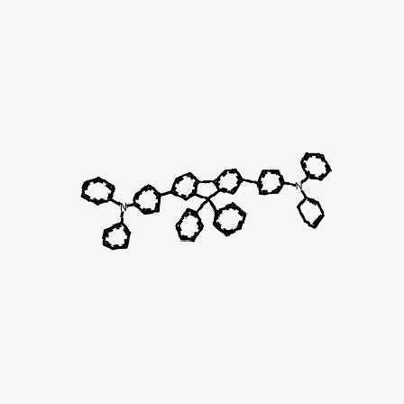 C1=CCCC(N(c2ccccc2)c2ccc(-c3ccc4c(c3)C(c3ccccc3)(c3ccccc3)c3cc(-c5ccc(N(c6ccccc6)c6ccccc6)cc5)ccc3-4)cc2)=C1